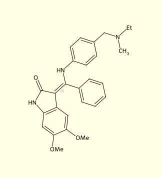 CCN(C)Cc1ccc(N/C(=C2\C(=O)Nc3cc(OC)c(OC)cc32)c2ccccc2)cc1